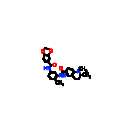 Cc1ccc(NC(=O)c2ccc3c(c2)OCCO3)cc1NC(=O)c1ccc2c(c1)CCC(C)N2C